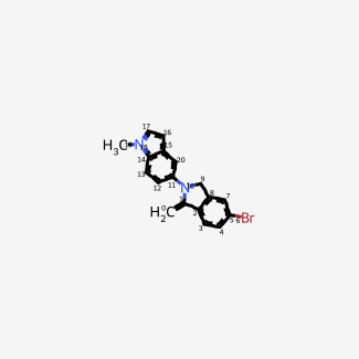 C=C1c2ccc(Br)cc2CN1c1ccc2c(ccn2C)c1